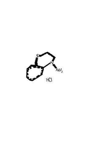 Cl.NN1CCSc2ccccc21